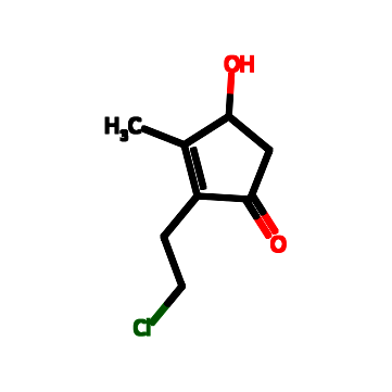 CC1=C(CCCl)C(=O)CC1O